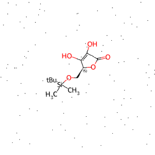 CC(C)(C)[Si](C)(C)OC[C@@H]1OC(=O)C(O)=C1O